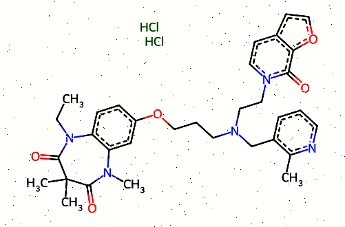 CCN1C(=O)C(C)(C)C(=O)N(C)c2cc(OCCCN(CCn3ccc4ccoc4c3=O)Cc3cccnc3C)ccc21.Cl.Cl